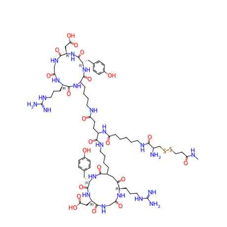 CNC(=O)CCSSCC(N)C(=O)NCCCCCC(=O)NC(CCC(=O)NCCCCC1NC(=O)[C@@H](CCCNC(=N)N)NC(=O)CNC(=O)[C@@H](CC(=O)O)NC(=O)[C@H](Cc2ccc(O)cc2)NC1=O)C(=O)NCCCCC1CC(=O)[C@@H](CCCNC(=N)N)NC(=O)CNC(=O)[C@@H](CC(=O)O)NC(=O)[C@H](Cc2ccc(O)cc2)NC1=O